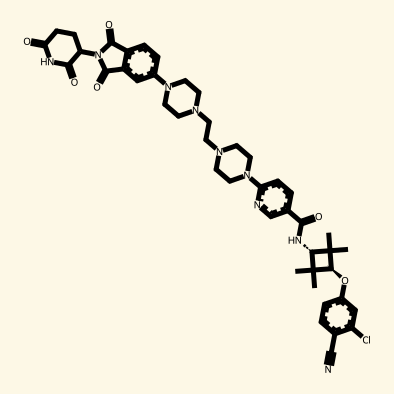 CC1(C)[C@H](NC(=O)c2ccc(N3CCN(CCN4CCN(c5ccc6c(c5)C(=O)N(C5CCC(=O)NC5=O)C6=O)CC4)CC3)nc2)C(C)(C)[C@H]1Oc1ccc(C#N)c(Cl)c1